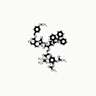 COc1ccc(COC(=O)C2=C(CCl)CS[C@H]3[C@H](NC(=O)/C(=N\O[C@H](Sc4ccc(OC(C)=O)c(OC(C)=O)c4)C(=O)OC(C)(C)C)c4csc(NC(c5ccccc5)(c5ccccc5)c5ccccc5)n4)C(=O)N23)cc1